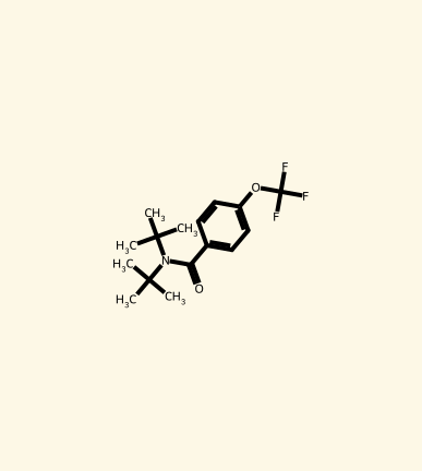 CC(C)(C)N(C(=O)c1ccc(OC(F)(F)F)cc1)C(C)(C)C